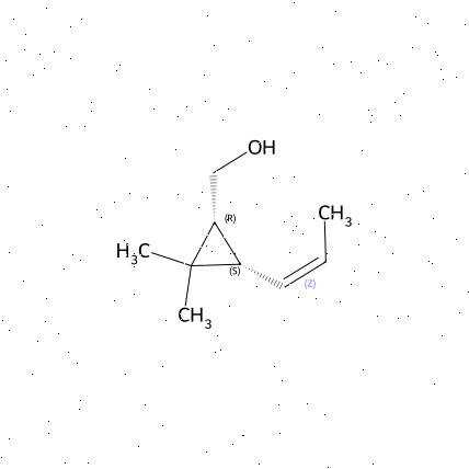 C/C=C\[C@H]1[C@@H](CO)C1(C)C